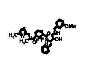 COc1cccc(CNC[C@@H](O)[C@H](Cc2ccccc2)NC(=O)C2C=CC=C(C(=O)N(C)Cc3nc(C)cs3)C2(F)F)c1